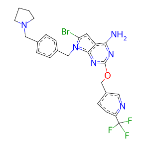 Nc1nc(OCc2ccc(C(F)(F)F)nc2)nc2c1cc(Br)n2Cc1ccc(CN2CCCC2)cc1